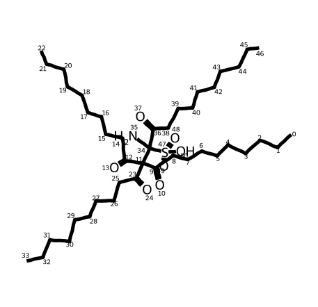 CCCCCCCCCC(=O)C(C(=O)CCCCCCCCC)(C(=O)CCCCCCCCC)C(N)(C(=O)CCCCCCCCC)S(=O)(=O)O